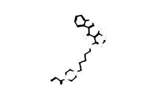 C=CC(=O)N1CCN(CCCCCNc2ncnc(N)c2C(=N)c2coc3ccccc23)CC1